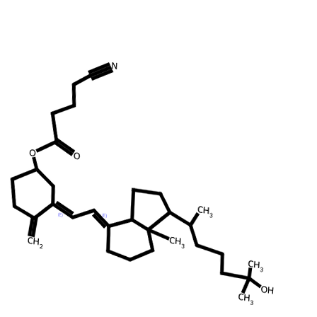 C=C1CCC(OC(=O)CCCC#N)C/C1=C\C=C1/CCCC2(C)C1CCC2C(C)CCCC(C)(C)O